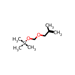 C=C(C)COCO[Si](C)(C)C